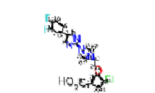 C[C@@H]1CN(c2ncc(-c3ccc(F)c(F)c3)cn2)C[C@H](C)N1CCOc1cc(CC(=O)O)ccc1Cl